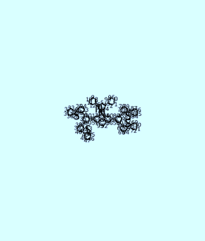 c1ccc(-c2cc(-c3ccccc3)nc(-n3c4cc(-c5cc(-c6cccc7c6sc6ccccc67)cc(-c6cccc7c6sc6ccccc67)c5)cc5c4c4c(cc(-c6cc(-c7cccc8c7sc7ccccc78)cc(-c7cccc8c7sc7ccccc78)c6)cc43)CC5)c2)cc1